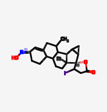 CCC12CCC3C4CC/C(=N\O)C=C4CC(C)C3C1C1CC1[C@]21OC(=O)CC1I